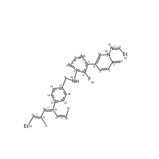 C=C1C=CC(c2ncnc(NCc3ccc(C(/C=C\C)=C/C(C)=C/CC)cc3)c2F)=CN1/N=C\CC